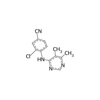 Cc1ncnc(Nc2ccc(C#N)cc2Cl)c1C